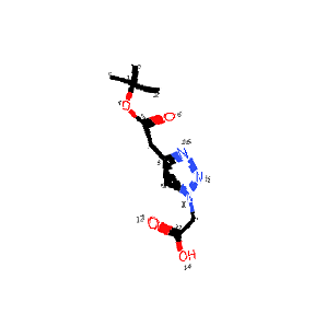 CC(C)(C)OC(=O)Cc1cn(CC(=O)O)nn1